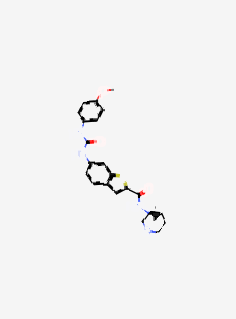 COc1ccc(NC(=O)Nc2ccc3cc(C(=O)N[C@H]4CN5CCC4CC5)sc3c2)cc1